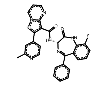 Cc1cc(-c2nn3cccnc3c2C(=O)N[C@H]2N=C(c3ccccc3)c3cccc(F)c3NC2=O)ccn1